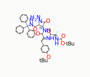 C[C@H](NC(=O)OC(C)(C)C)C(=O)N[C@@H](Cc1ccc(OC(C)(C)C)cc1)C(=O)N[C@@H]1C(=O)N(N)C1C(=O)NC(c1ccccc1)(c1ccccc1)c1ccccc1